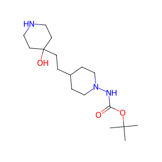 CC(C)(C)OC(=O)NN1CCC(CCC2(O)CCNCC2)CC1